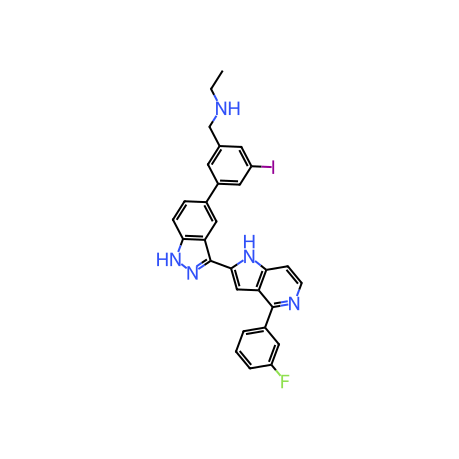 CCNCc1cc(I)cc(-c2ccc3[nH]nc(-c4cc5c(-c6cccc(F)c6)nccc5[nH]4)c3c2)c1